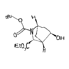 CCOC(=O)[C@@H]1[C@@H]2C[C@@H](C[C@H]2O)N1C(=O)OC(C)(C)C